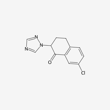 O=C1c2cc(Cl)ccc2CCC1n1cncn1